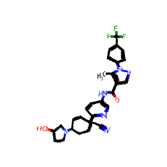 Cc1c(C(=O)Nc2ccc(C3(C#N)CCC(N4CCC(O)C4)CC3)nc2)cnn1-c1ccc(C(F)(F)F)cc1